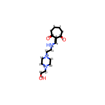 O=C1CCCCC(=O)C1=CNCCN1CCN(CCO)CC1